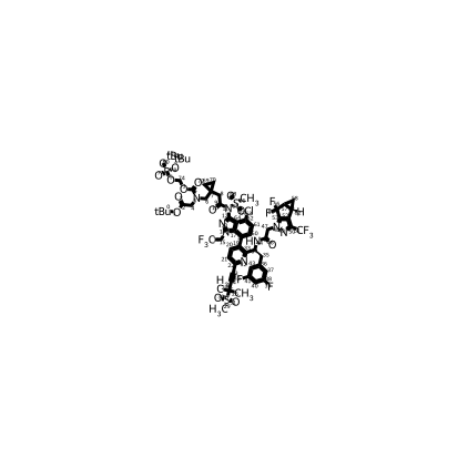 CC(C)(C)OC(=O)CN(CC1(CC(=O)N(c2nn(CC(F)(F)F)c3c(-c4ccc(C#CC(C)(C)S(C)(=O)=O)nc4[C@H](Cc4cc(F)cc(F)c4)NC(=O)Cn4nc(C(F)(F)F)c5c4C(F)(F)C4C[C@H]54)ccc(Cl)c23)S(C)(=O)=O)CC1)C(=O)OCOP(=O)(OC(C)(C)C)OC(C)(C)C